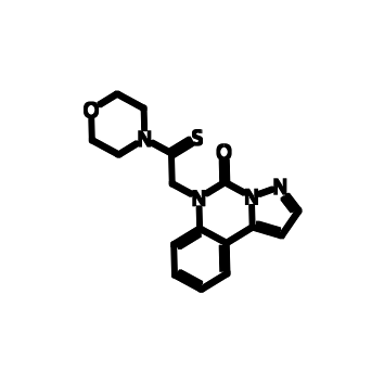 O=c1n(CC(=S)N2CCOCC2)c2ccccc2c2ccnn12